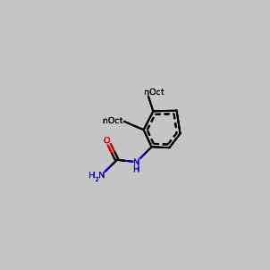 CCCCCCCCc1cccc(NC(N)=O)c1CCCCCCCC